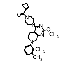 COc1nc2c(c(N3CCN(C(=O)C4=CCC4)CC3)n1)CCN(c1cccc(C)c1C)C2